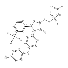 CC(=O)NS(=O)(=O)CCN1C[C@H](c2cccc(C(F)(F)F)c2)N(c2ccc(Oc3ccc(Cl)cc3)cc2)C1=O